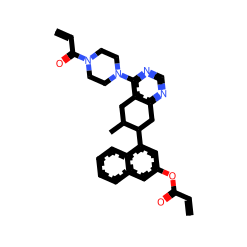 C=CC(=O)Oc1cc(C2Cc3ncnc(N4CCN(C(=O)C=C)CC4)c3CC2C)c2ccccc2c1